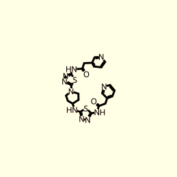 O=C(Cc1cccnc1)Nc1nnc(NC2CCN(c3nnc(NC(=O)Cc4cccnc4)s3)CC2)s1